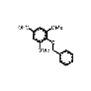 COc1cc(C=O)cc(OC)c1OCc1ccccc1